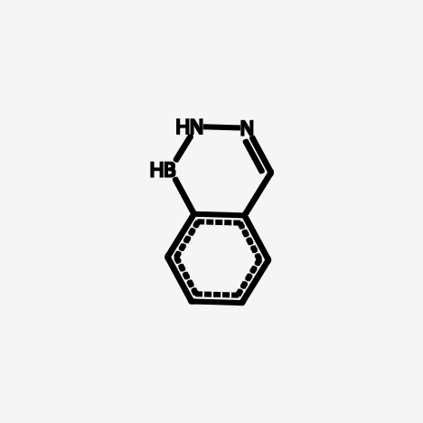 B1NN=Cc2ccccc21